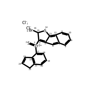 [Cl-].[Cl-].[S]=[Zr+2]([C]1=C2C=c3ccccc3=C2SC1Br)[c]1cccc2c1C=CC2